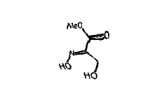 COC(=O)C(CO)=NO